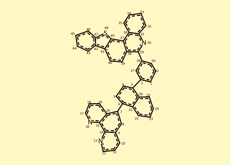 c1cc(-c2ccc(-c3cc4cccnc4c4ncccc34)c3ccccc23)cc(-c2nc3ccccc3c3c2ccc2c4ccccc4sc23)c1